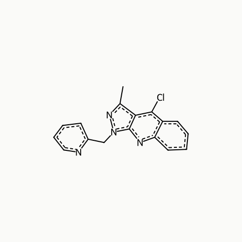 Cc1nn(Cc2ccccn2)c2nc3ccccc3c(Cl)c12